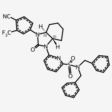 N#Cc1ccc(N2C(=O)N(c3cccc(S(=O)(=O)N(Cc4ccccc4)Cc4ccccc4)n3)[C@H]3CCCC[C@@H]32)cc1C(F)(F)F